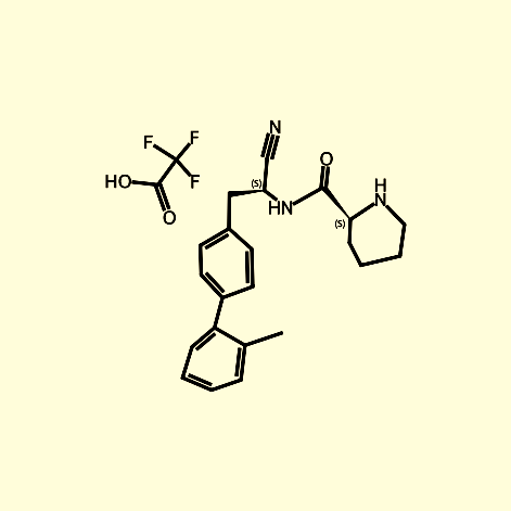 Cc1ccccc1-c1ccc(C[C@@H](C#N)NC(=O)[C@@H]2CCCCN2)cc1.O=C(O)C(F)(F)F